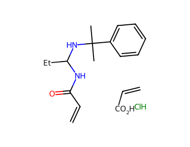 C=CC(=O)NC(CC)NC(C)(C)c1ccccc1.C=CC(=O)O.Cl